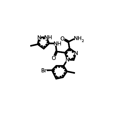 Cc1cc(NC(=O)c2c(C(N)=O)ncn2-c2cc(Br)ccc2C)[nH]n1